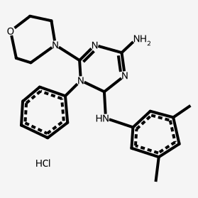 Cc1cc(C)cc(NC2N=C(N)N=C(N3CCOCC3)N2c2ccccc2)c1.Cl